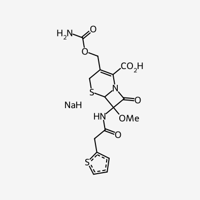 COC1(NC(=O)Cc2cccs2)C(=O)N2C(C(=O)O)=C(COC(N)=O)CSC21.[NaH]